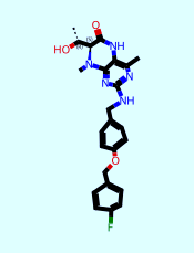 Cc1nc(NCc2ccc(OCc3ccc(F)cc3)cc2)nc2c1NC(=O)[C@H]([C@@H](C)O)N2C